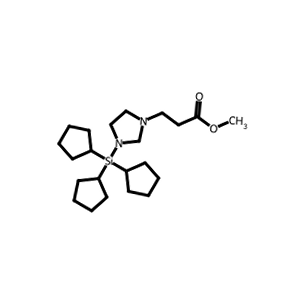 COC(=O)CCN1CCN([Si](C2CCCC2)(C2CCCC2)C2CCCC2)C1